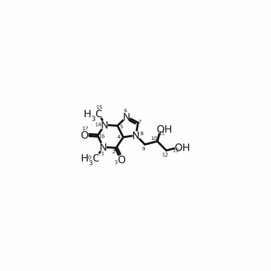 CN1C(=O)C2C(N=CN2CC(O)CO)N(C)C1=O